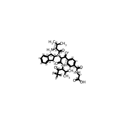 CC(C)C(NC(=O)C(C(=O)c1ccc(C(=O)NCC(=O)O)cc1)N(C(=O)[C@@H](N)C(C)C)C1Cc2ccccc2C1)C(=O)C(F)(F)F